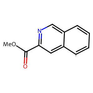 COC(=O)c1cc2[c]cccc2cn1